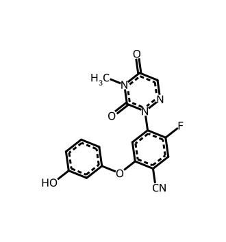 Cn1c(=O)cnn(-c2cc(Oc3cccc(O)c3)c(C#N)cc2F)c1=O